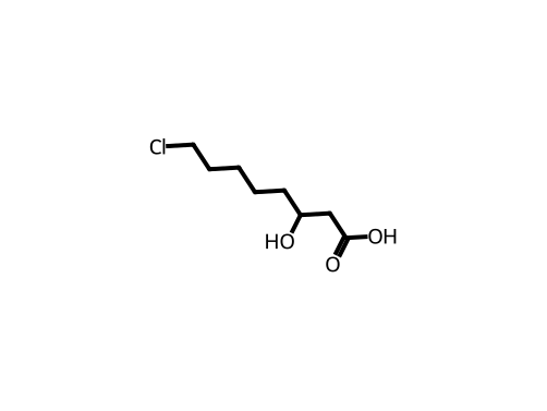 O=C(O)CC(O)CCCCCCl